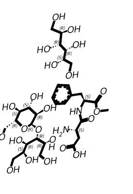 COC(=O)[C@H](Cc1ccccc1)NC(=O)[C@@H](N)CC(=O)O.OC[C@@H](O)[C@@H](O)[C@H](O)[C@@H](O)CO.OC[C@@H](O)[C@@H](O[C@H]1O[C@H](CO)[C@@H](O)[C@H](O)[C@H]1O)[C@H](O)[C@@H](O)CO